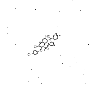 Cc1ccc(C(O)(c2ccc3nc(Cl)c(Oc4ccc(Cl)cc4)c(C(F)(F)F)c3c2)c2cncn2C)cn1